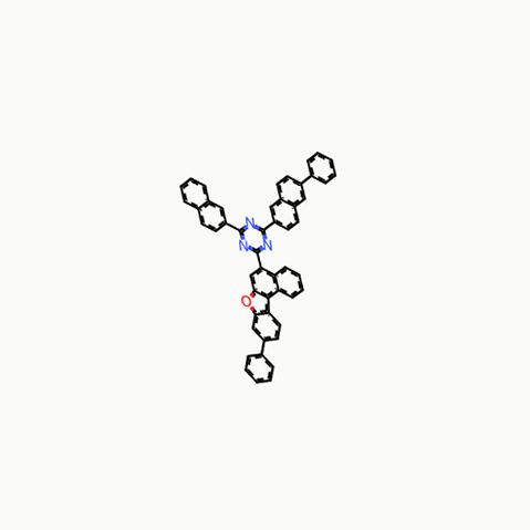 c1ccc(-c2ccc3cc(-c4nc(-c5ccc6ccccc6c5)nc(-c5cc6oc7cc(-c8ccccc8)ccc7c6c6ccccc56)n4)ccc3c2)cc1